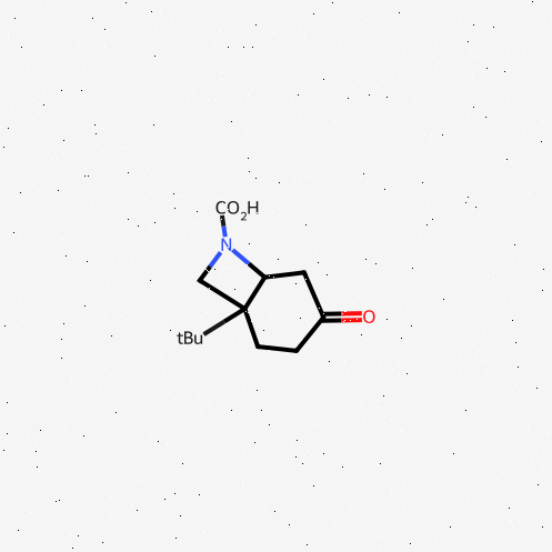 CC(C)(C)C12CCC(=O)CC1N(C(=O)O)C2